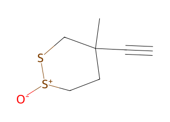 C#CC1(C)CC[S+]([O-])SC1